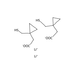 O=C([O-])CC1(CS)CC1.O=C([O-])CC1(CS)CC1.[Li+].[Li+]